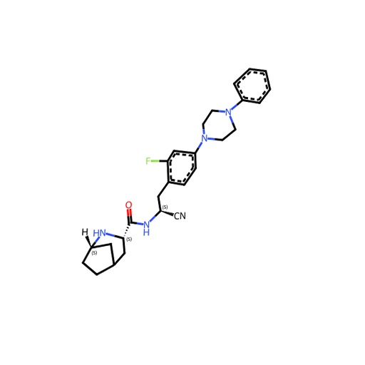 N#C[C@H](Cc1ccc(N2CCN(c3ccccc3)CC2)cc1F)NC(=O)[C@@H]1CC2CC[C@@H](C2)N1